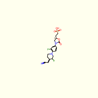 N#CC=C1CCN(c2ccc(N3C[C@@H](CCS(=O)(=O)O)OC3=O)cc2F)CC1F